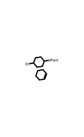 C1=CCCCC1.CCCCCC1CCC(CC)CC1